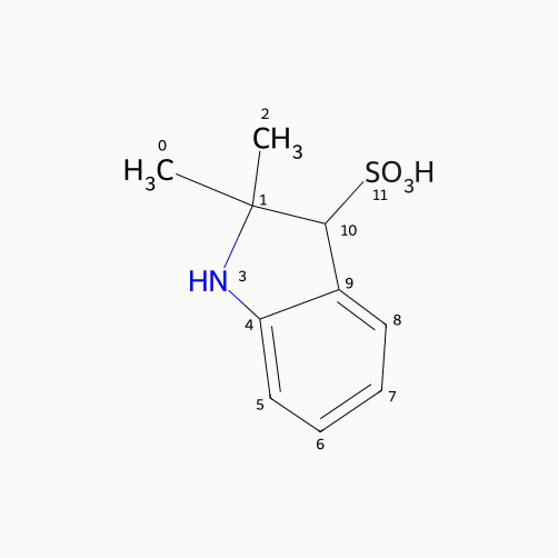 CC1(C)Nc2ccccc2C1S(=O)(=O)O